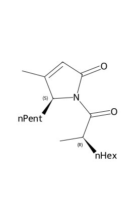 CCCCCC[C@@H](C)C(=O)N1C(=O)C=C(C)[C@@H]1CCCCC